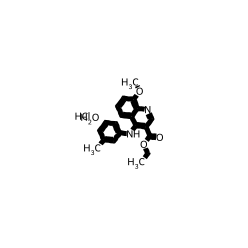 CCOC(=O)c1cnc2c(OC)cccc2c1Nc1cccc(C)c1.Cl.O